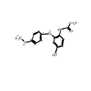 O=C(O)C(=O)Nc1ccc(Cl)cc1Oc1ccc(OC(F)(F)F)cc1